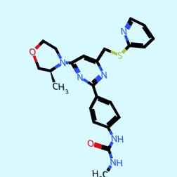 CNC(=O)Nc1ccc(-c2nc(CSc3ccccn3)cc(N3CCOC[C@@H]3C)n2)cc1